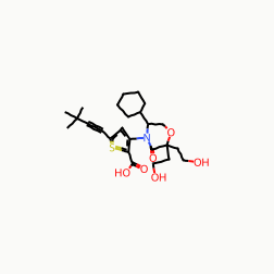 CC(C)(C)C#Cc1cc(N2C(=O)C(CCO)(CCO)OCC2C2CCCCC2)c(C(=O)O)s1